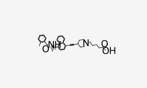 Cc1ccccc1C(=O)N[C@H](C)c1ccc(C#CC2CCN(CCCCC(=O)O)CC2)c2ccccc12